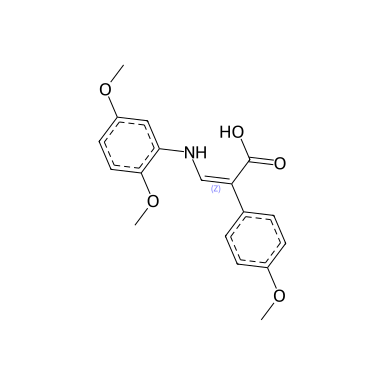 COc1ccc(/C(=C/Nc2cc(OC)ccc2OC)C(=O)O)cc1